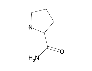 NC(=O)C1CCC[N]1